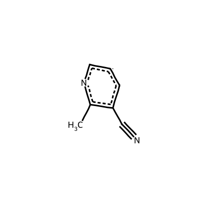 Cc1nc[c]cc1C#N